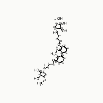 CC[C@H]1C[C@@H](NCCCOc2cccc(-c3cccc(OCCCN[C@@H]4C[C@H](CO)[C@@H](O)[C@H]4O)c3C)c2C)[C@H](O)[C@@H]1O